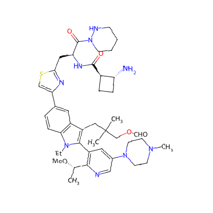 CCn1c(-c2cc(N3CCN(C)CC3)cnc2[C@H](C)OC)c(CC(C)(C)COC=O)c2cc(-c3csc(C[C@H](NC(=O)[C@@H]4CC[C@H]4N)C(=O)N4CCCCN4)n3)ccc21